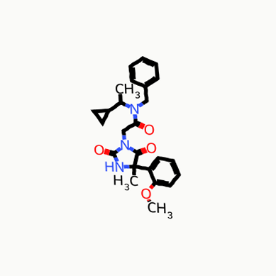 COc1ccccc1C1(C)NC(=O)N(CC(=O)N(Cc2ccccc2)C(C)C2CC2)C1=O